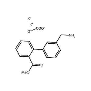 COC(=O)c1ccccc1-c1cccc(CN)c1.O=C([O-])[O-].[K+].[K+]